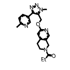 CCC(=O)N1CCc2cc(OCc3c(-c4ccc(C)nc4)nnn3C)ncc2C1